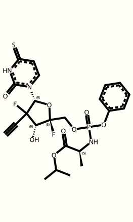 C#CC1(F)[C@@H](O)[C@@](F)(COP(=O)(N[C@@H](C)C(=O)OC(C)C)Oc2ccccc2)O[C@H]1n1ccc(=S)[nH]c1=O